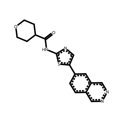 O=C(Nc1ncc(-c2ccc3cnncc3c2)s1)C1CCOCC1